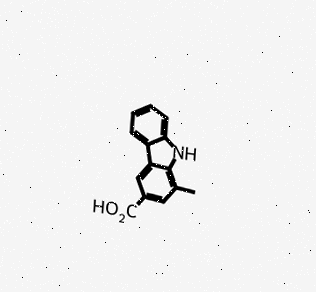 Cc1cc(C(=O)O)cc2c1[nH]c1ccccc12